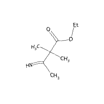 CCOC(=O)C(C)(C)C(C)=N